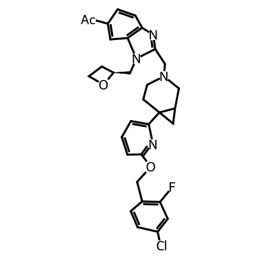 CC(=O)c1ccc2nc(CN3CCC4(c5cccc(OCc6ccc(Cl)cc6F)n5)CC4C3)n(C[C@@H]3CCO3)c2c1